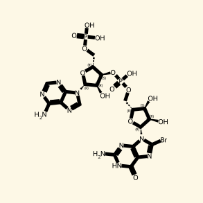 Nc1nc2c(nc(Br)n2[C@@H]2O[C@H](COP(=O)(O)O[C@H]3[C@@H](O)[C@H](n4cnc5c(N)ncnc54)O[C@@H]3COP(=O)(O)O)[C@@H](O)[C@H]2O)c(=O)[nH]1